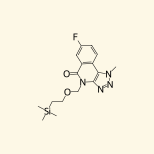 Cn1nnc2c1c1ccc(F)cc1c(=O)n2COCC[Si](C)(C)C